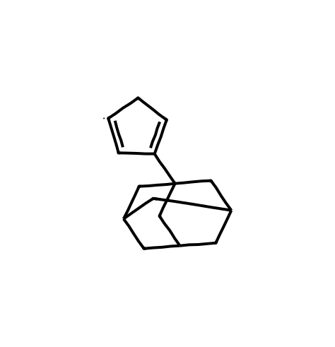 [C]1=CC(C23CC4CC(CC(C4)C2)C3)=CC1